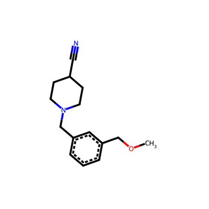 COCc1cccc(CN2CCC(C#N)CC2)c1